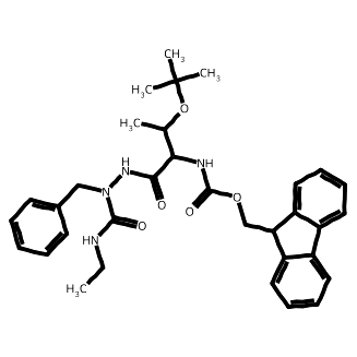 CCNC(=O)N(Cc1ccccc1)NC(=O)C(NC(=O)OCC1c2ccccc2-c2ccccc21)C(C)OC(C)(C)C